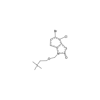 CS(C)(C)CCOCn1c(=O)sc2c(Cl)c(Br)ccc21